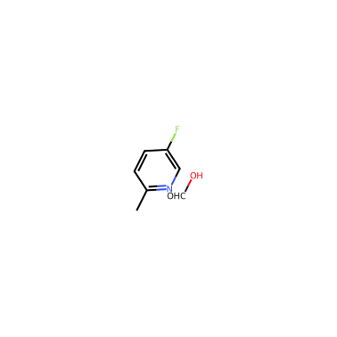 Cc1ccc(F)cn1.O=CO